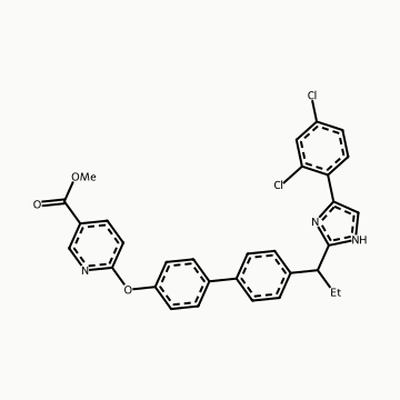 CCC(c1ccc(-c2ccc(Oc3ccc(C(=O)OC)cn3)cc2)cc1)c1nc(-c2ccc(Cl)cc2Cl)c[nH]1